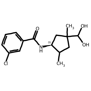 CC1CC(C)(C(O)O)C[C@@H]1NC(=O)c1cccc(Cl)c1